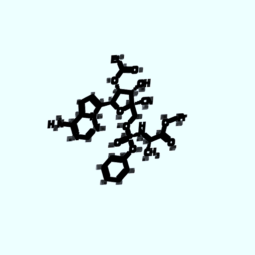 CCC(=O)O[C@H]1[C@H](c2ccc3c(N)ncnn23)O[C@](C#N)(CO[P@@](=O)(N[C@@H](C)C(=O)OC(C)C)Oc2ccccc2)[C@H]1O